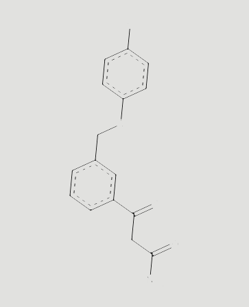 NC(=O)CC(=O)c1cccc(CSc2ccc(Cl)cc2)c1